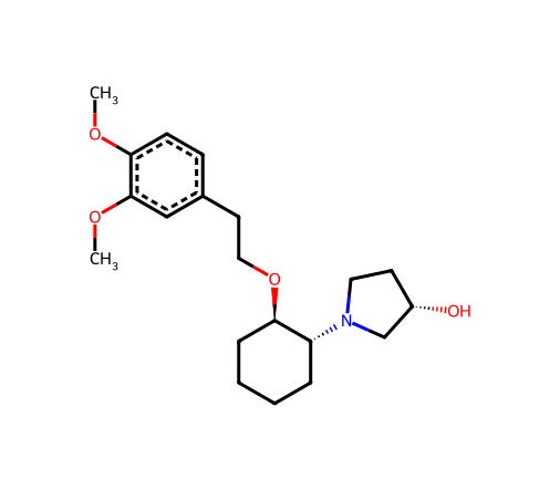 COc1ccc(CCO[C@@H]2CCCC[C@H]2N2CC[C@H](O)C2)cc1OC